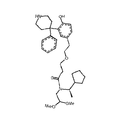 COC(CN(C(=O)CCOCCc1ccc(O)c(C2(c3ccccc3)CCNCC2)c1)[C@H](C)C1CCCC1)OC